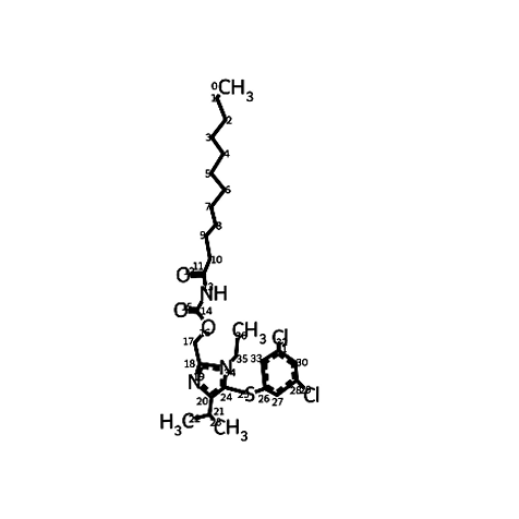 CCCCCCCCCCCC(=O)NC(=O)OCc1nc(C(C)C)c(Sc2cc(Cl)cc(Cl)c2)n1CC